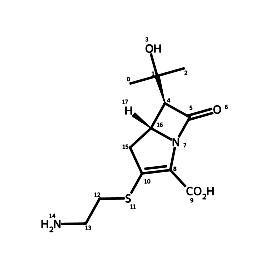 CC(C)(O)[C@H]1C(=O)N2C(C(=O)O)=C(SCCN)C[C@H]12